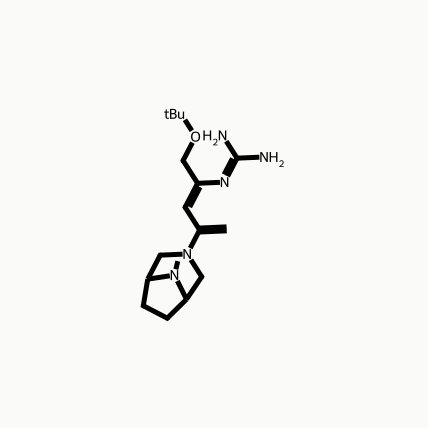 C=C(/C=C(/COC(C)(C)C)N=C(N)N)N1CC2CCC(C1)N2C